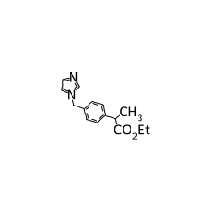 CCOC(=O)C(C)c1ccc(Cn2ccnc2)cc1